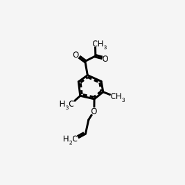 C=CCOc1c(C)cc(C(=O)C(C)=O)cc1C